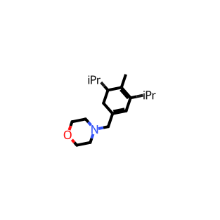 CC1=C(C(C)C)C=C(CN2CCOCC2)CC1C(C)C